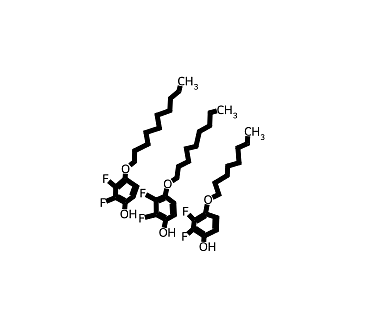 CCCCCCCCCCOc1ccc(O)c(F)c1F.CCCCCCCCCOc1ccc(O)c(F)c1F.CCCCCCCCOc1ccc(O)c(F)c1F